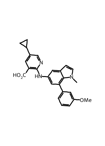 COc1cccc(-c2cc(Nc3ncc(C4CC4)cc3C(=O)O)cc3ccn(C)c23)c1